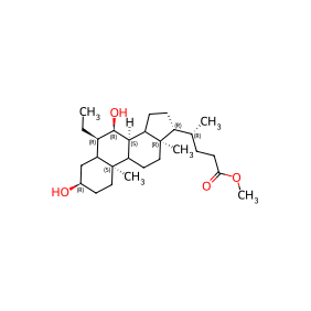 CC[C@@H]1C2C[C@H](O)CC[C@]2(C)C2CC[C@@]3(C)C(CC[C@@H]3[C@H](C)CCC(=O)OC)[C@@H]2[C@@H]1O